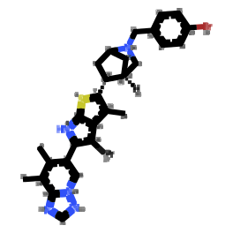 Cc1c(-c2[nH]c3sc([C@@H]4CC5C[C@H]4CN5Cc4ccc(Br)cc4)c(C)c3c2C(C)C)cn2ncnc2c1C